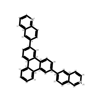 c1cnc2ccc(-c3ccc4c5ccccc5c5cc(-c6ccc7cnccc7c6)ccc5c4c3)cc2c1